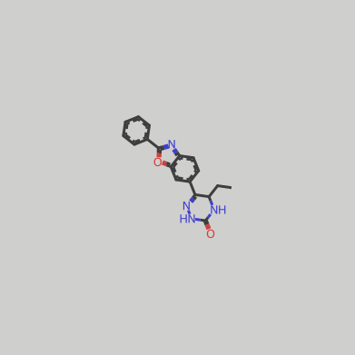 CCC1NC(=O)NN=C1c1ccc2nc(-c3ccccc3)oc2c1